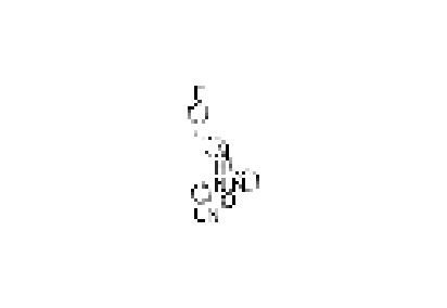 N#Cc1cccc(NC(=O)N2CCCCC2CCN2CCC(Cc3ccc(F)cc3)CC2)c1